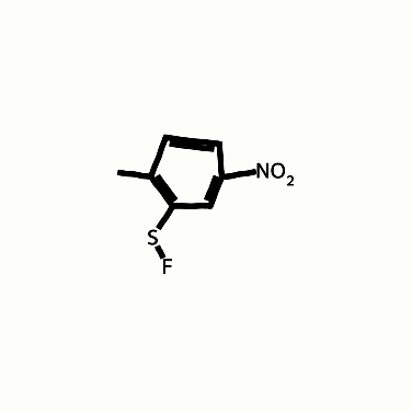 Cc1ccc([N+](=O)[O-])cc1SF